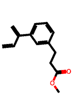 C=CC(=C)c1cccc(CCC(=O)OC)c1